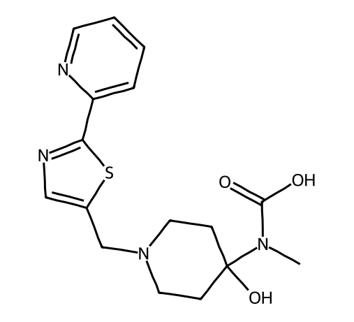 CN(C(=O)O)C1(O)CCN(Cc2cnc(-c3ccccn3)s2)CC1